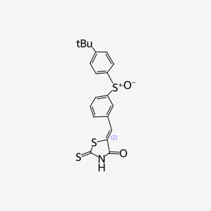 CC(C)(C)c1ccc([S+]([O-])c2cccc(/C=C3\SC(=S)NC3=O)c2)cc1